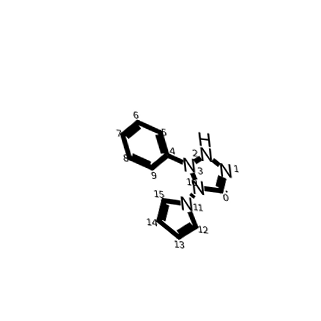 [C]1=NNN(c2ccccc2)N1n1cccc1